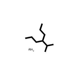 [AlH3].[CH2]C(C)C(CCC)CCC